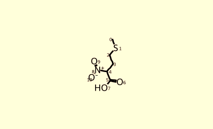 CSCCC(C(=O)O)[N+](=O)[O-]